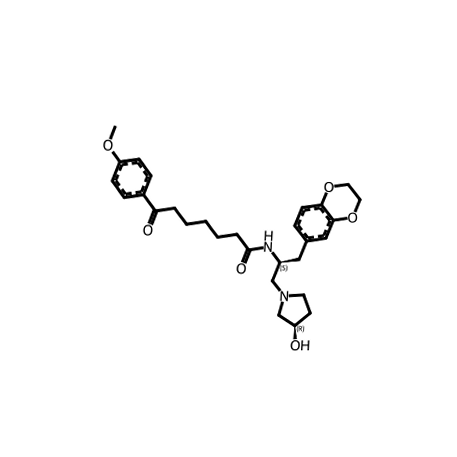 COc1ccc(C(=O)CCCCCC(=O)N[C@@H](Cc2ccc3c(c2)OCCO3)CN2CC[C@@H](O)C2)cc1